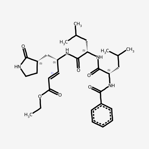 CCOC(=O)/C=C/[C@H](C[C@@H]1CCNC1=O)NC(=O)[C@H](CC(C)C)NC(=O)[C@H](CC(C)C)NC(=O)c1ccccc1